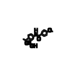 COc1ccc(C(=O)Nc2ccc3c(c2)B(O)OC3C)cc1